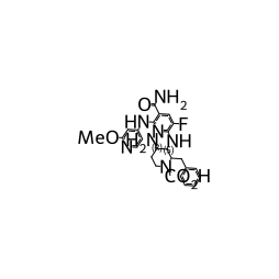 COc1cc(Nc2nc(N[C@@H]3C(Cc4ccccc4)N(C(=O)O)CC[C@H]3N)c(F)cc2C(N)=O)ccn1